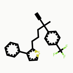 C#CC(C)(CCCc1sccc1-c1ccccc1)c1ccc(C(F)(F)F)cc1